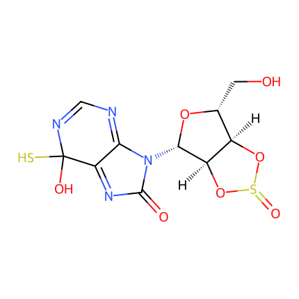 O=C1N=C2C(=NC=NC2(O)S)N1[C@@H]1O[C@H](CO)[C@H]2OS(=O)O[C@H]21